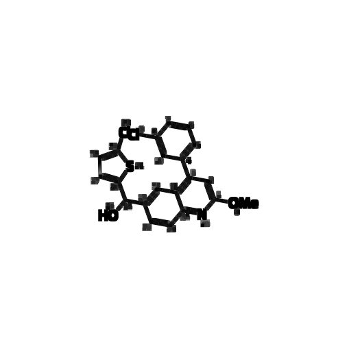 COc1cc(-c2cccc(Cl)c2)c2cc(C(O)c3ccc(Cl)s3)ccc2n1